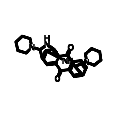 O=C1c2cc3ccc2C(=O)c2c1cc1c(c2NC1N1CCCCC1)NC3N1CCCCC1